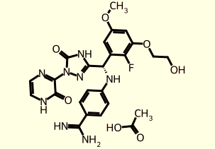 CC(=O)O.COc1cc(OCCO)c(F)c([C@H](Nc2ccc(C(=N)N)cc2)c2nn(-c3ncc[nH]c3=O)c(=O)[nH]2)c1